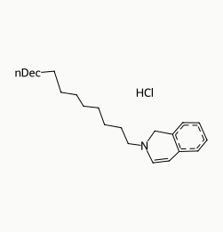 CCCCCCCCCCCCCCCCCCN1C=Cc2ccccc2C1.Cl